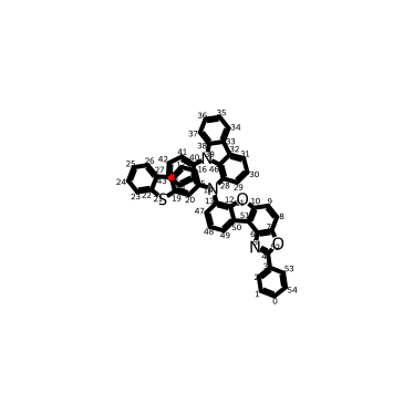 c1ccc(-c2nc3c(ccc4oc5c(N(c6ccc7c(c6)sc6ccccc67)c6cccc7c8ccccc8n(-c8ccccc8)c67)cccc5c43)o2)cc1